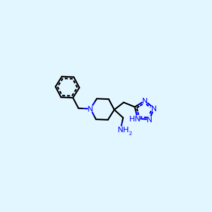 NCC1(Cc2nnn[nH]2)CCN(Cc2ccccc2)CC1